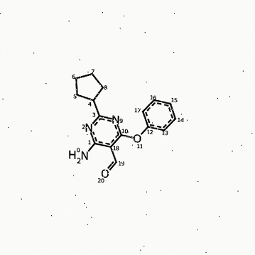 Nc1nc(C2CCCC2)nc(Oc2ccccc2)c1C=O